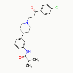 CC(C)C(=O)Nc1cccc(C2CCN(CCC(=O)c3ccc(Cl)cc3)CC2)c1